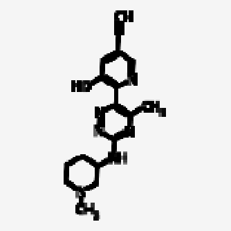 C#Cc1cnc(-c2nnc(NC3CCCN(C)C3)nc2C)c(O)c1